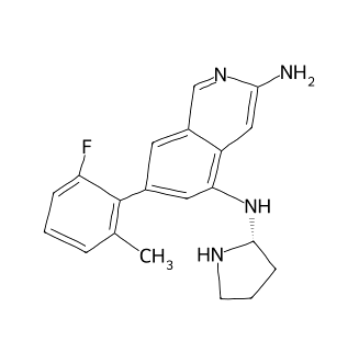 Cc1cccc(F)c1-c1cc(N[C@@H]2CCCN2)c2cc(N)ncc2c1